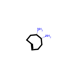 N[C@@H]1CC/C=C/CC[C@@H]1N